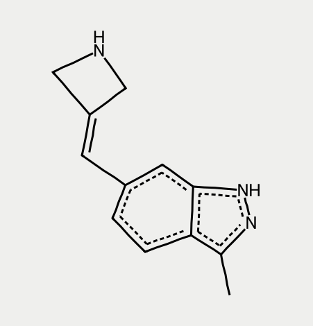 Cc1n[nH]c2cc(C=C3CNC3)ccc12